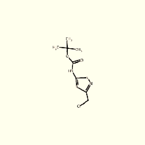 CC(C)(C)OC(=O)Nc1nc(CCl)ns1